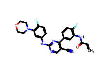 C=CC(=O)Nc1cc(-c2nc(Nc3ccc(F)c(N4CCOCC4)c3)ncc2C#N)ccc1F